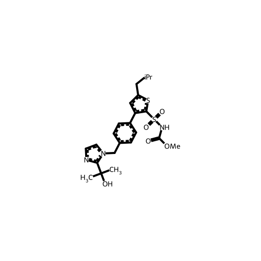 COC(=O)NS(=O)(=O)c1sc(CC(C)C)cc1-c1ccc(Cn2ccnc2C(C)(C)O)cc1